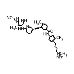 CCCN(C)CCCCc1ccc(NC(=O)c2ccc(C)c(C#CC3=CCC=C(N/C(C=N)=C(\C)NCCC#N)N=C3)c2)cc1C(F)(F)F